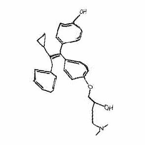 CN(C)CC(O)COc1ccc(C(=C(c2ccccc2)C2CC2)c2ccc(O)cc2)cc1